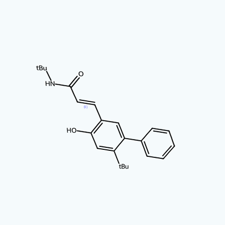 CC(C)(C)NC(=O)/C=C/c1cc(-c2ccccc2)c(C(C)(C)C)cc1O